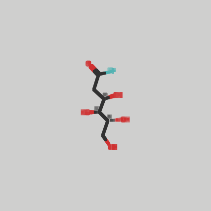 O=C([19F])C[C@@H](O)[C@H](O)[C@H](O)CO